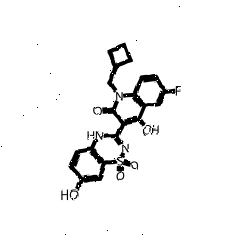 O=c1c(C2=NS(=O)(=O)c3cc(O)ccc3N2)c(O)c2cc(F)ccc2n1CC1CCC1